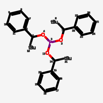 CC(C)(C)C(OP(OC(c1ccccc1)C(C)(C)C)OC(c1ccccc1)C(C)(C)C)c1ccccc1